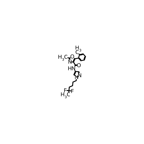 Cc1nc(C(=O)Nc2cnn(CCCCC(C)(F)F)c2)c(-c2ccccc2C)o1